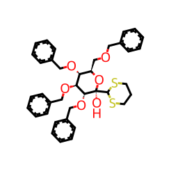 O[C@@]1(C2SCCCS2)O[C@H](COCc2ccccc2)[C@@H](OCc2ccccc2)[C@H](OCc2ccccc2)[C@H]1OCc1ccccc1